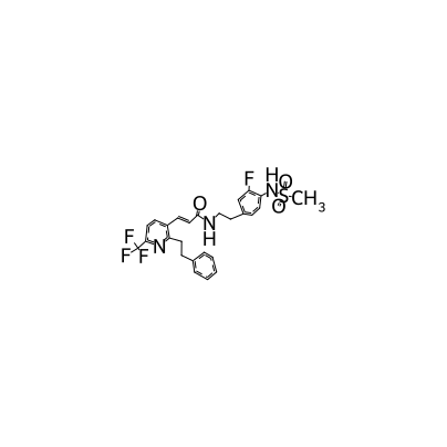 CS(=O)(=O)Nc1ccc(CCNC(=O)C=Cc2ccc(C(F)(F)F)nc2CCc2ccccc2)cc1F